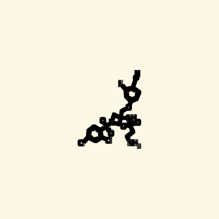 N#Cc1ccc(OCC2(NS(=O)(=O)CCN)CN(S(=O)(=O)c3ccc(Cl)cc3Cl)C2)cc1F